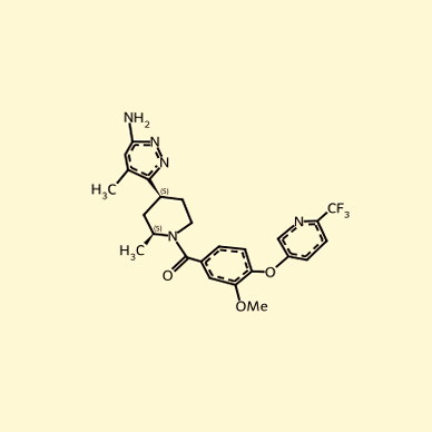 COc1cc(C(=O)N2CC[C@H](c3nnc(N)cc3C)C[C@@H]2C)ccc1Oc1ccc(C(F)(F)F)nc1